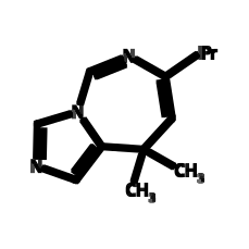 CC(C)C1=CC(C)(C)c2cncn2C=N1